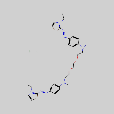 CC[n+]1ccsc1N=Nc1ccc(N(C)CCOCCOCCN(C)c2ccc(N=Nc3scc[n+]3CC)cc2)cc1.[Br-].[Br-]